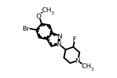 COc1cc2nn(C3CCN(C)CC3F)cc2cc1Br